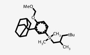 COCOc1ccc([Si](C)(C)CC(C)CC(C)(C)C)cc1C12CC3CC(CC(C3)C1)C2